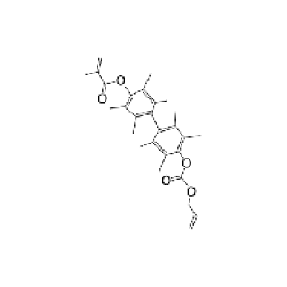 C=CCOC(=O)Oc1c(C)c(C)c(-c2c(C)c(C)c(OC(=O)C(=C)C)c(C)c2C)c(C)c1C